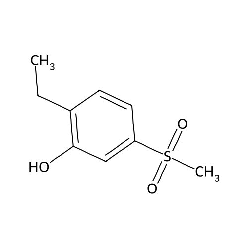 CCc1ccc(S(C)(=O)=O)cc1O